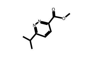 COC(=O)c1ccc(C(C)C)nn1